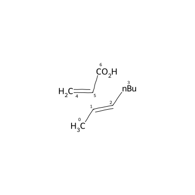 C/C=C/CCCC.C=CC(=O)O